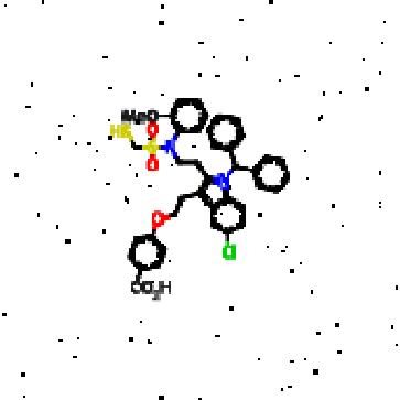 COc1ccccc1N(CCc1c(CCOc2ccc(C(=O)O)cc2)c2cc(Cl)ccc2n1C(c1ccccc1)c1ccccc1)S(=O)(=O)CS